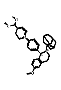 COc1ccc2c(c1)CC[C@H](C13CC4CC(CC(C4)C1)C3)[C@@H]2c1ccc(N2CCC(C(OC)OC)CC2)cc1